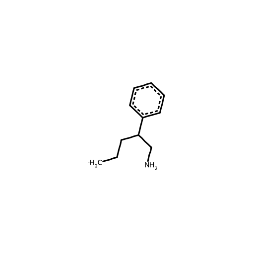 [CH2]CCC(CN)c1ccccc1